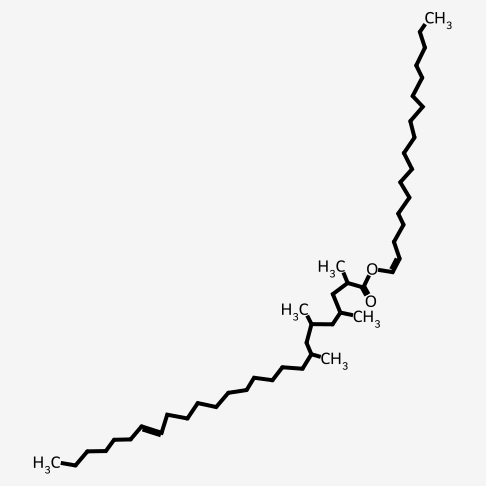 CCCCCC/C=C/CCCCCCCCCCC(C)CC(C)CC(C)CC(C)C(=O)O/C=C\CCCCCCCCCCCCCCCC